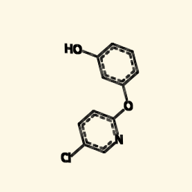 Oc1cccc(Oc2ccc(Cl)cn2)c1